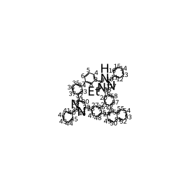 CC[N+]1=C(c2ccccc2)NC(c2ccccc2)N=C1c1ccc(-c2c(-c3ccc(-c4cc(-c5ccccc5)nc(-c5ccccc5)n4)cc3)ccc3ccccc23)cc1